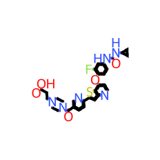 O=C(O)CCN1CCN(C(=O)c2ccc(-c3cc4nccc(Oc5ccc(NC(=O)NC6CC6)cc5F)c4s3)nc2)CC1